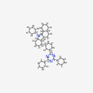 c1ccc(-c2nc(-c3ccccc3)nc(-c3cccc(-c4cccc5c4c4ccc6ccccc6c4n5-c4ccccc4)c3)n2)cc1